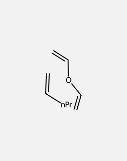 C=CCCC.C=COC=C